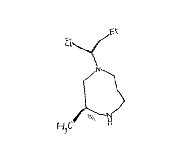 CCC(CC)N1CCN[C@@H](C)C1